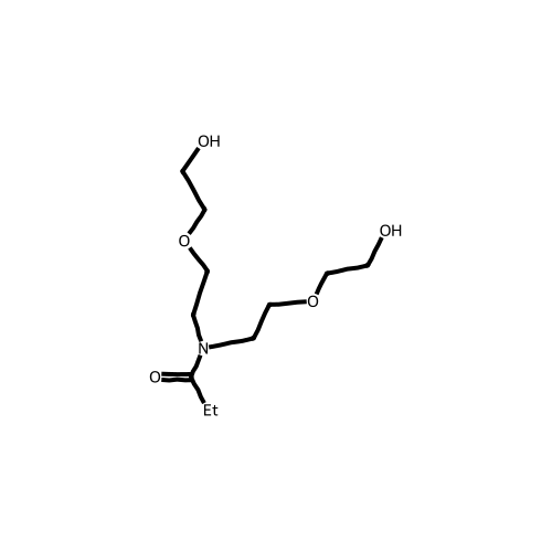 [CH2]CC(=O)N(CCOCCO)CCOCCO